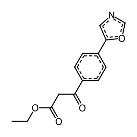 CCOC(=O)CC(=O)c1ccc(-c2cnco2)cc1